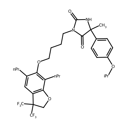 CCCc1cc2c(c(CCC)c1OCCCCN1C(=O)NC(C)(c3ccc(OC(C)C)cc3)C1=O)OCC2(C(F)(F)F)C(F)(F)F